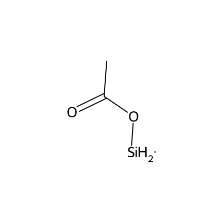 CC(=O)O[SiH2]